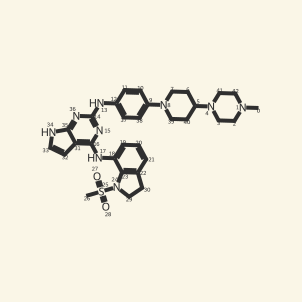 CN1CCN(C2CCN(c3ccc(Nc4nc(Nc5cccc6c5N(S(C)(=O)=O)CC6)c5cc[nH]c5n4)cc3)CC2)CC1